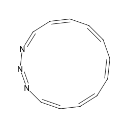 c1cccccnnnccccc1